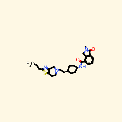 CN1Cc2c(C(=O)N[C@H]3CC[C@H](CCN4CCc5sc(CCC(F)(F)F)nc5C4)CC3)cccc2C1=O